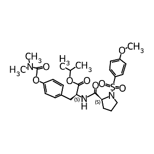 COc1ccc(S(=O)(=O)N2CCC[C@H]2C(=O)N[C@@H](Cc2ccc(OC(=O)N(C)C)cc2)C(=O)OC(C)C)cc1